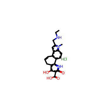 CCNCc1cc2c3c(ccc2n1C)-c1[nH]c(=O)c(C(=O)O)c(O)c1CC=C3.Cl